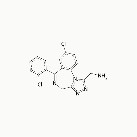 NCc1nnc2n1-c1ccc(Cl)cc1C(c1ccccc1Cl)=NC2